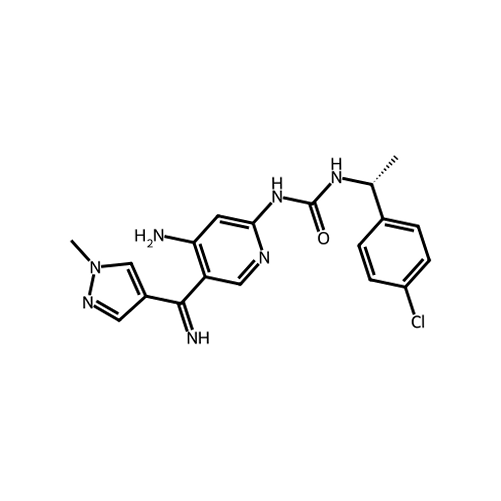 C[C@@H](NC(=O)Nc1cc(N)c(C(=N)c2cnn(C)c2)cn1)c1ccc(Cl)cc1